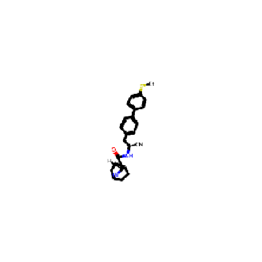 CCSc1ccc(-c2ccc(C[C@@H](C#N)NC(=O)[C@H]3NC4CCC3CC4)cc2)cc1